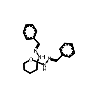 C(=NNC1(NN=Cc2ccccc2)CCCCO1)c1ccccc1